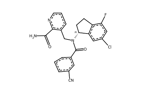 N#Cc1cccc(C(=O)N(Cc2cccnc2C(N)=O)[C@@H]2CCc3c(F)cc(Cl)cc32)c1